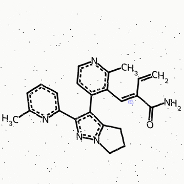 C=C/C(=C\c1c(-c2c(-c3cccc(C)n3)nn3c2CCC3)ccnc1C)C(N)=O